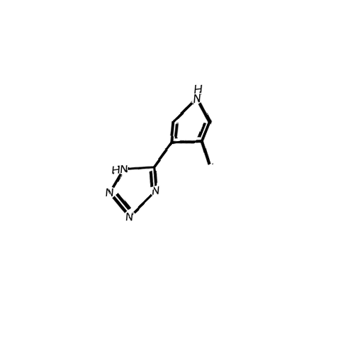 [CH2]c1c[nH]cc1-c1nnn[nH]1